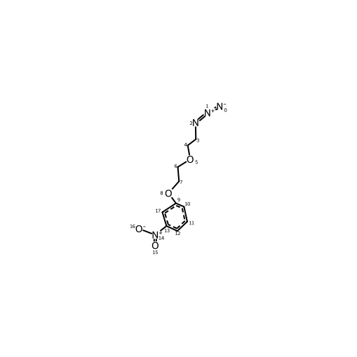 [N-]=[N+]=NCCOCCOc1cccc([N+](=O)[O-])c1